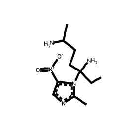 CCC(N)(CCC(C)N)n1c([N+](=O)[O-])cnc1C